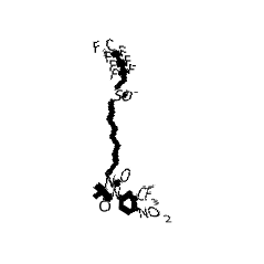 CC1(C)C(=O)N(c2ccc([N+](=O)[O-])c(C(F)(F)F)c2)C(=O)N1CCCCCCCCC[S+]([O-])CCC(F)(F)C(F)(F)C(F)(F)C(F)(F)F